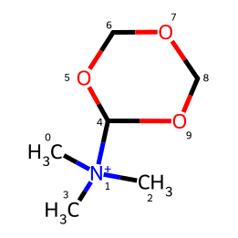 C[N+](C)(C)C1OCOCO1